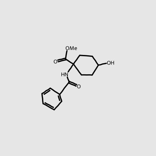 COC(=O)C1(NC(=O)c2ccccc2)CCC(O)CC1